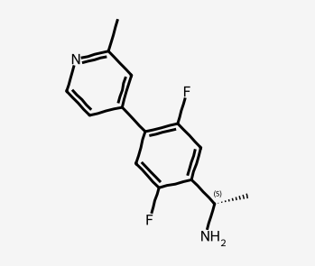 Cc1cc(-c2cc(F)c([C@H](C)N)cc2F)ccn1